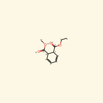 CCOC(=O)C1C=CC=CC1C(=O)OC